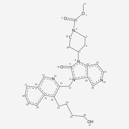 COC(=O)N1CCC(n2c(=O)n(Cc3ncc4ccccc4c3CCCCO)c3cnccc32)CC1